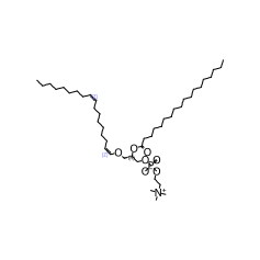 CCCCCCCC/C=C\CCCCCC/C=C\OC[C@H](COP(=O)([O-])OCC[N+](C)(C)C)OC(=O)CCCCCCCCCCCCCCCCC